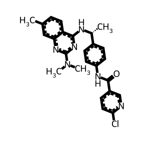 Cc1ccc2c(N[C@H](C)c3ccc(NC(=O)c4ccc(Cl)nc4)cc3)nc(N(C)C)nc2c1